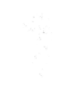 CC1(C)C(N)=N[C@](C)(c2nc(NC(=O)c3ncc(C#N)cc3Cl)ccc2F)[C@H]2CCCNS21O